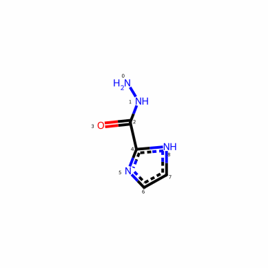 NNC(=O)c1ncc[nH]1